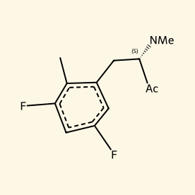 CN[C@@H](Cc1cc(F)cc(F)c1C)C(C)=O